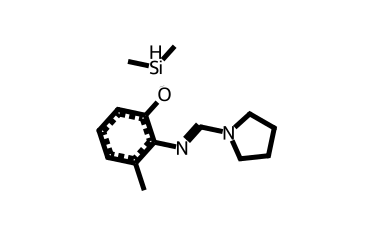 Cc1cccc(O[SiH](C)C)c1N=CN1CCCC1